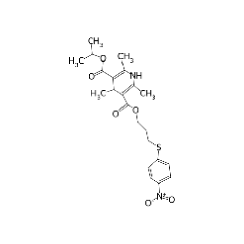 CC1=C(C(=O)OCCCSc2ccc([N+](=O)[O-])cc2)C(C)C(C(=O)OC(C)C)=C(C)N1